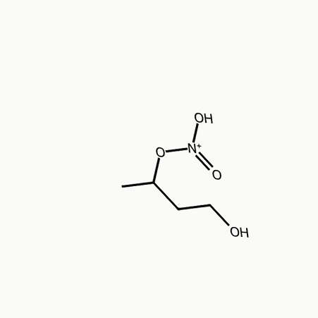 CC(CCO)O[N+](=O)O